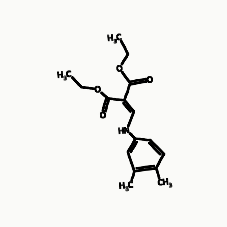 CCOC(=O)C(=CNc1ccc(C)c(C)c1)C(=O)OCC